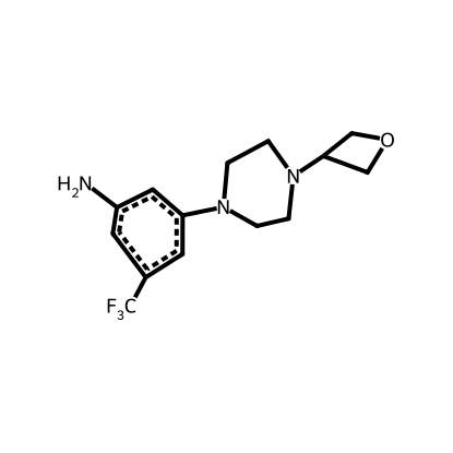 Nc1cc(N2CCN(C3COC3)CC2)cc(C(F)(F)F)c1